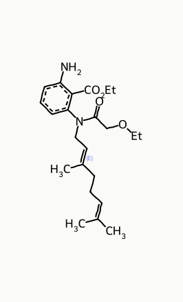 CCOCC(=O)N(C/C=C(\C)CCC=C(C)C)c1cccc(N)c1C(=O)OCC